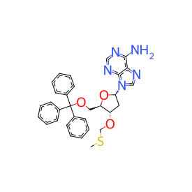 CSCO[C@H]1C[C@H](n2cnc3c(N)ncnc32)O[C@@H]1COC(c1ccccc1)(c1ccccc1)c1ccccc1